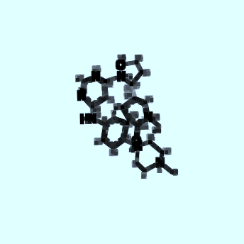 CN1CCN(c2ccc(Nc3cc(N4OCC[C@@H]4c4ccc(=O)n(C)c4)ncn3)cc2)CC1